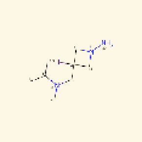 CC(C)N(C)CC1(I)CN(N)C1